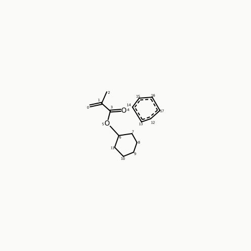 C=C(C)C(=O)OC1CCCCC1.c1ccccc1